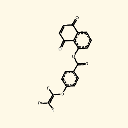 O=C(Oc1cccc2c1C(=O)C=CC2=O)c1ccc(OC(F)=C(F)F)cc1